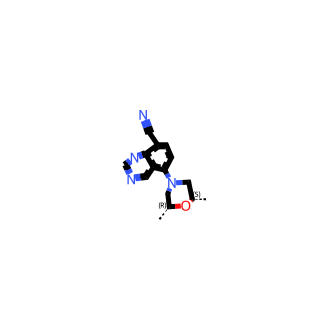 C[C@@H]1CN(c2ccc(C#N)c3ncncc23)C[C@H](C)O1